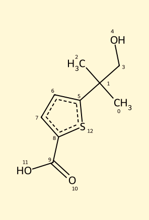 CC(C)(CO)c1ccc(C(=O)O)s1